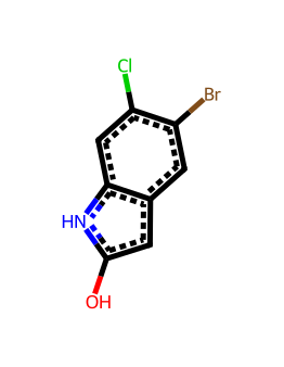 Oc1cc2cc(Br)c(Cl)cc2[nH]1